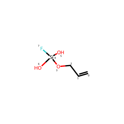 C=CCO[Si](O)(O)F